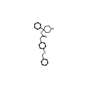 O=C(Cc1ccc(OCc2ccccc2)cc1)OC1(c2ccccc2)CCNCC1